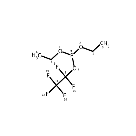 CCOP(OCC)OC(F)(F)C(F)(F)F